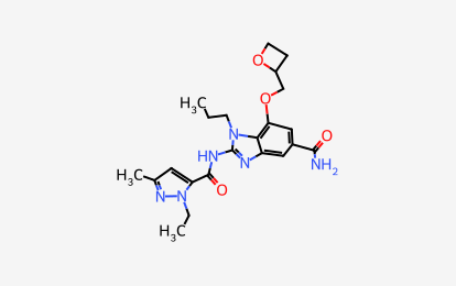 CCCn1c(NC(=O)c2cc(C)nn2CC)nc2cc(C(N)=O)cc(OCC3CCO3)c21